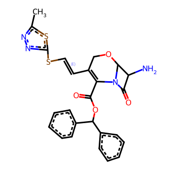 Cc1nnc(S/C=C/C2=C(C(=O)OC(c3ccccc3)c3ccccc3)N3C(=O)C(N)C3OC2)s1